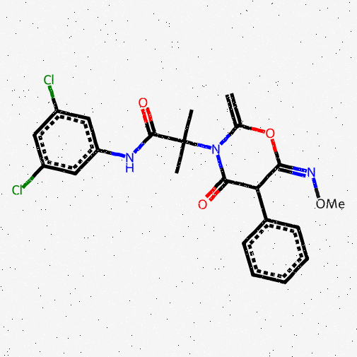 C=C1OC(=NOC)C(c2ccccc2)C(=O)N1C(C)(C)C(=O)Nc1cc(Cl)cc(Cl)c1